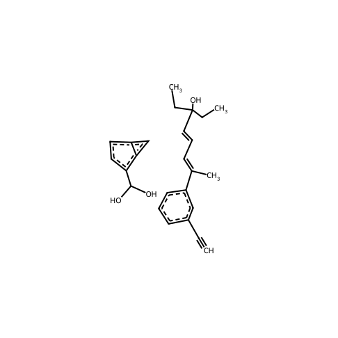 C#Cc1cccc(C(C)=CC=CC(O)(CC)CC)c1.OC(O)c1ccc2cc1-2